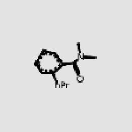 CCCc1ccccc1C(=O)N(C)C